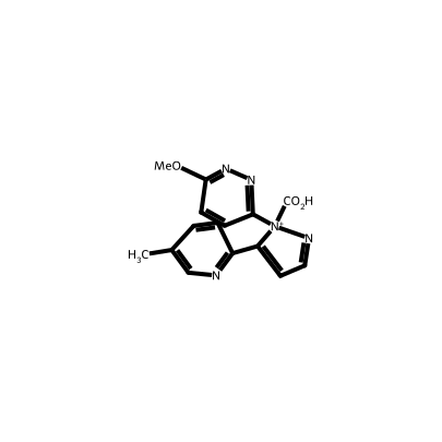 COc1ccc([N+]2(C(=O)O)N=CC=C2c2ccc(C)cn2)nn1